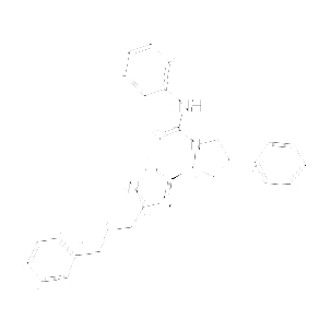 S=C(Nc1ccccc1)N1C[C@H](c2ccccc2)C[C@H]1c1nc(CCCc2ccccc2)no1